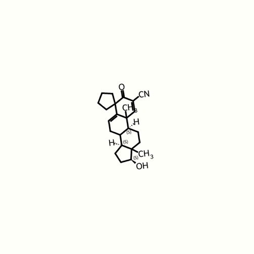 CC12C=C(C#N)C(=O)C3(CCCC3)C1=CCC1[C@@H]2CCC2(C)[C@@H](O)CC[C@@H]12